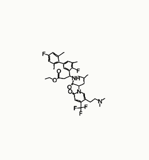 CCOC(=O)CC(NC(=O)C(CC(C)C)n1cc(CCN(C)C)c(C(F)(F)F)cc1=O)c1cc(-c2c(C)cc(F)cc2C)cc(C)c1F